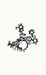 O=C(NC(C(=O)N[C@H]1CCCCC/C=C/[C@@H]2C[C@@]2(C(=O)NS(=O)(=O)C2CC2)NC(=O)[C@@H]2C[C@@H](OC(=O)N3Cc4cccc(F)c4C3)CN2C1=O)C1CCCCC1)c1cnccn1